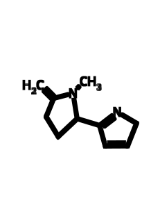 C=C1CCC(C2=NCC=C2)N1C